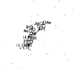 CC(=O)Oc1cccc(C(=O)NCCCCN(CC(=O)N[C@H](P)C(=O)N[C@@H]2C(=O)N3CC(C)(C)SC23)C(=O)c2cccc(O)c2OC(C)=O)c1OC(C)=O